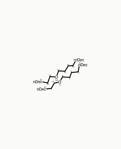 CCCCCCCCCCCCCCOCCCCCCCCCCCC.CCCCCCCCCCCCCCOCCCCCCCCCCCC